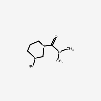 CC(C)N1CCCN(C(=O)N(C)C)C1